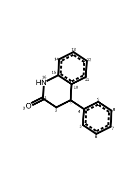 O=C1CC(c2ccccc2)c2ccccc2N1